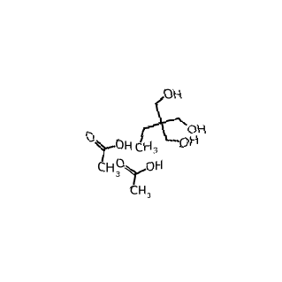 CC(=O)O.CC(=O)O.CCC(CO)(CO)CO